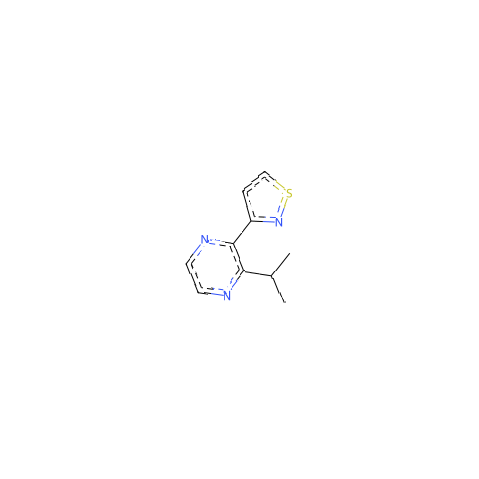 CC(C)c1nccnc1-c1ccsn1